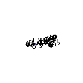 CCN1CCC[C@@H]1CNC(=O)/C=C/c1cnc(N)c2c(-c3ccc(N(C(=O)c4cc5ccccc5n4C)C(N)[C@H]4CCCN4CC)c(OC)c3)csc12